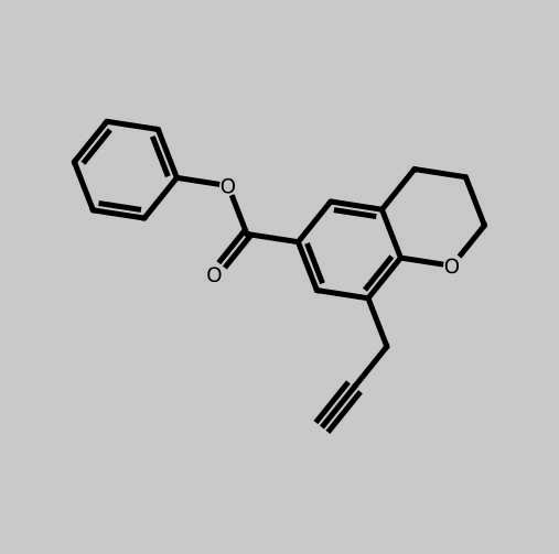 C#CCc1cc(C(=O)Oc2ccccc2)cc2c1OCCC2